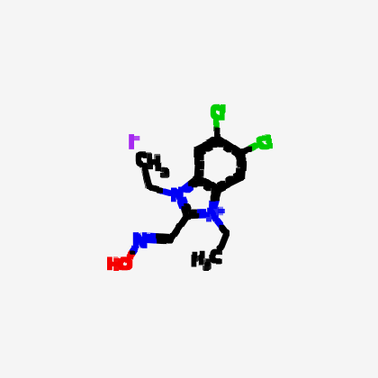 CCn1c(C=NO)[n+](CC)c2cc(Cl)c(Cl)cc21.[I-]